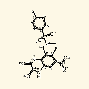 Cc1ccc(S(=O)(=O)N(C)Cc2c(C)c([N+](=O)[O-])cc3c2[N]C(=O)C(=O)N3)cc1